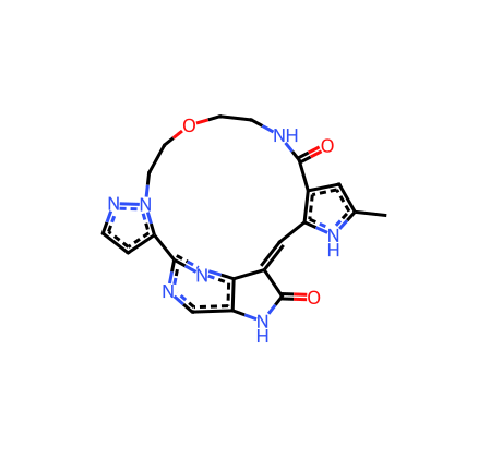 Cc1cc2c([nH]1)/C=C1\C(=O)Nc3cnc(nc31)-c1ccnn1CCOCCNC2=O